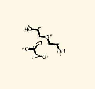 O=C(Cl)OCl.OCCOCCO